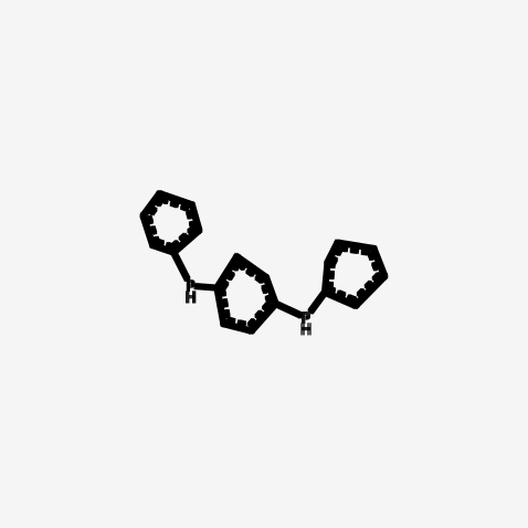 c1ccc(Pc2ccc(Pc3ccccc3)cc2)cc1